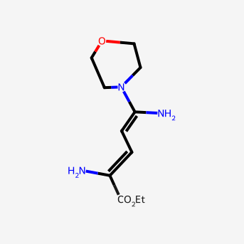 CCOC(=O)/C(N)=C/C=C(\N)N1CCOCC1